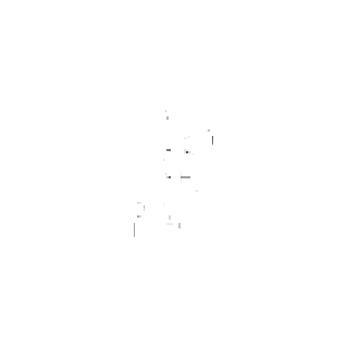 C=Cc1ccccc1O[SiH2]CC(OCC)OCC